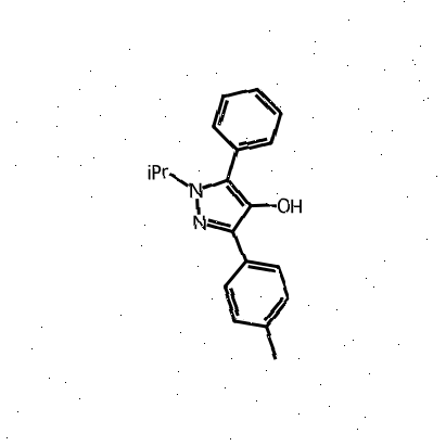 Cc1ccc(-c2nn(C(C)C)c(-c3ccccc3)c2O)cc1